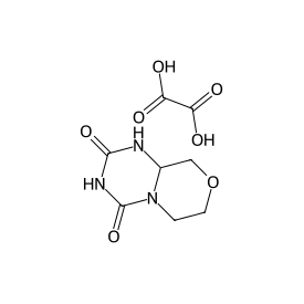 O=C(O)C(=O)O.O=C1NC(=O)N2CCOCC2N1